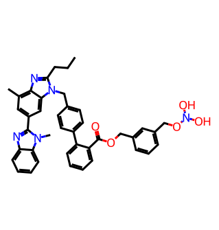 CCCc1nc2c(C)cc(-c3nc4ccccc4n3C)cc2n1Cc1ccc(-c2ccccc2C(=O)OCc2cccc(CON(O)O)c2)cc1